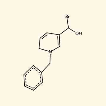 OC(Br)C1=CN(Cc2ccccc2)CC=C1